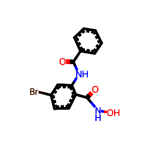 O=C(Nc1cc(Br)ccc1C(=O)NO)c1ccccc1